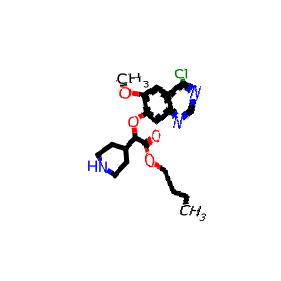 CCCCOC(=O)C(Oc1cc2ncnc(Cl)c2cc1OC)C1CCNCC1